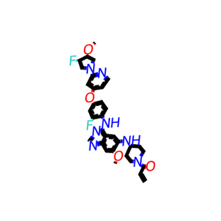 C=CC(=O)N1CCC(Nc2cc3c(Nc4ccc(Oc5ccnc(N6C[C@@H](F)[C@@H](OC)C6)c5)cc4F)ncnc3cc2OC)CC1